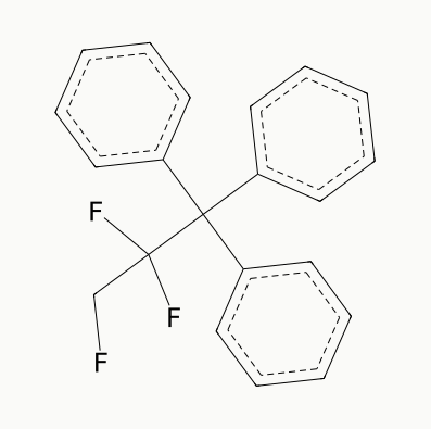 FCC(F)(F)C(c1ccccc1)(c1ccccc1)c1ccccc1